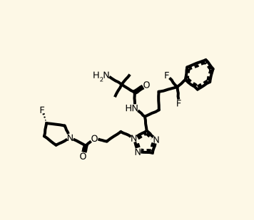 CC(C)(N)C(=O)NC(CCC(F)(F)c1ccccc1)c1ncnn1CCOC(=O)N1CC[C@H](F)C1